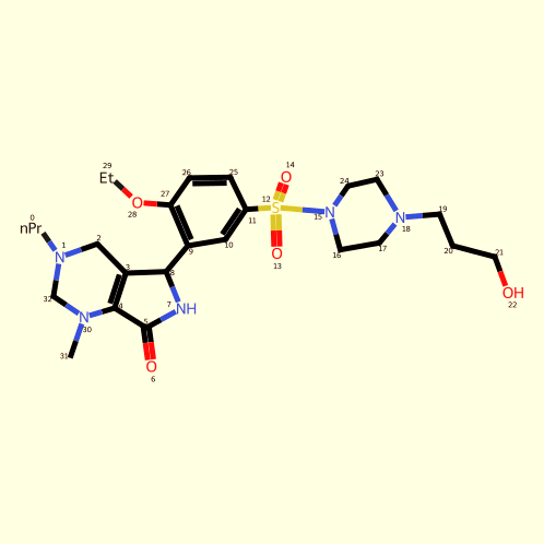 CCCN1CC2=C(C(=O)NC2c2cc(S(=O)(=O)N3CCN(CCCO)CC3)ccc2OCC)N(C)C1